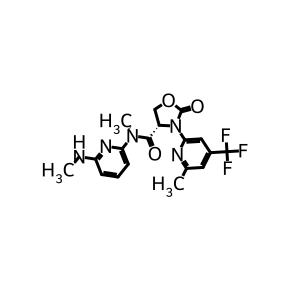 CNc1cccc(N(C)C(=O)[C@@H]2COC(=O)N2c2cc(C(F)(F)F)cc(C)n2)n1